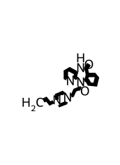 C=CCN1CCN(CCC(=O)N2c3ccccc3C(=O)Nc3cccnc32)CC1